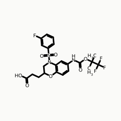 CC(C)(OC(=O)Nc1ccc2c(c1)N(S(=O)(=O)c1cccc(F)c1)CC(CCC(=O)O)O2)C(F)(F)F